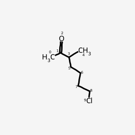 CC(=O)C(C)CCCCCl